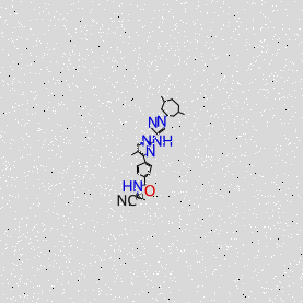 Cc1cnc(Nc2cnn(C3CC(C)CCC(C)C3)c2)nc1-c1ccc(C(=O)N[C@@H](C)C#N)cc1